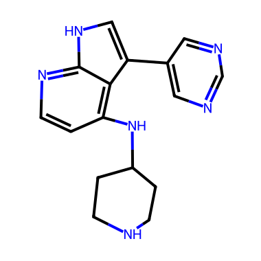 c1ncc(-c2c[nH]c3nccc(NC4CCNCC4)c23)cn1